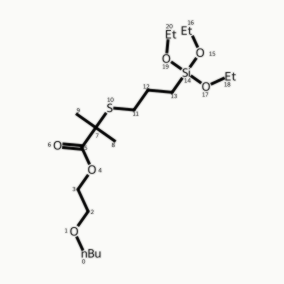 CCCCOCCOC(=O)C(C)(C)SCCC[Si](OCC)(OCC)OCC